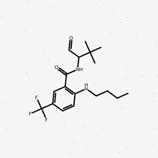 CCCCNc1ccc(C(F)(F)F)cc1C(=O)NC(C=O)C(C)(C)C